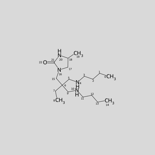 CCCCNCC(CC)(CNCCCC)CN1CC(C)NC1=O